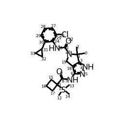 CC1(C)c2[nH]nc(NC(=O)C3(S(C)(C)C)CCC3)c2CN1C(=O)Nc1c(Cl)cccc1C1CC1